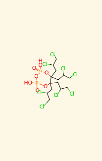 O=P1(O)OC(CC(Cl)CCl)(CC(Cl)CCl)C(CC(Cl)CCl)(CC(Cl)CCl)OP(=O)(O)O1